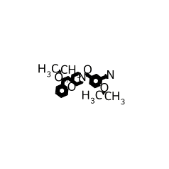 CC(C)Oc1ccc(C(=O)N2CCC3(CC2)C[C@H](OC(C)C)c2ccccc2O3)cc1C#N